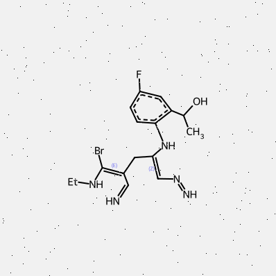 CCN/C(Br)=C(\C=N)C/C(=C/N=N)Nc1ccc(F)cc1C(C)O